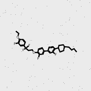 CCCCC1CCC(c2ccc(-c3ccc(OCCC(F)(F)c4ccc(OCC)c(F)c4)c(F)c3)cc2F)CC1